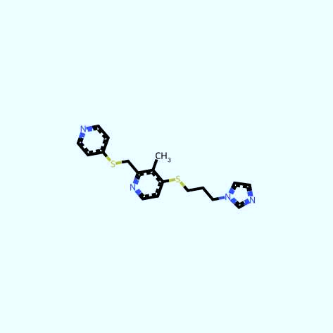 Cc1c(SCCCn2ccnc2)ccnc1CSc1ccncc1